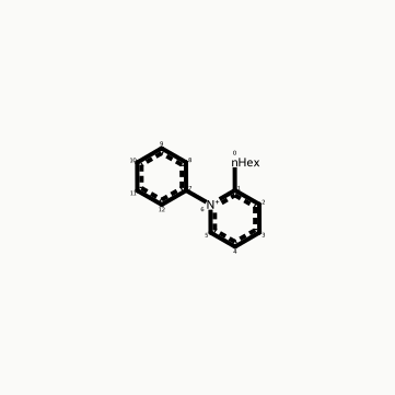 CCCCCCc1cccc[n+]1-c1ccccc1